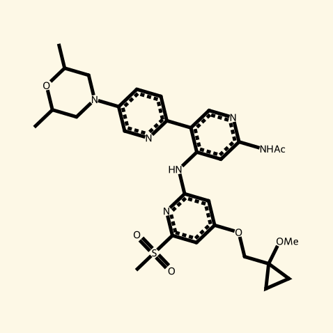 COC1(COc2cc(Nc3cc(NC(C)=O)ncc3-c3ccc(N4CC(C)OC(C)C4)cn3)nc(S(C)(=O)=O)c2)CC1